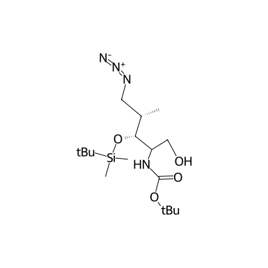 C[C@@H](CN=[N+]=[N-])[C@@H](O[Si](C)(C)C(C)(C)C)C(CO)NC(=O)OC(C)(C)C